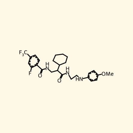 COc1ccc(NCCNC(=O)C(CNC(=O)c2ccc(C(F)(F)F)cc2F)C2CCCCC2)cc1